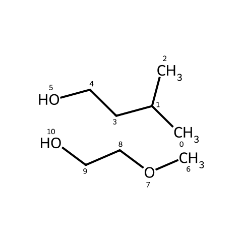 CC(C)CCO.COCCO